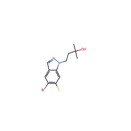 CC(C)(O)CCn1ncc2cc(Br)c(F)cc21